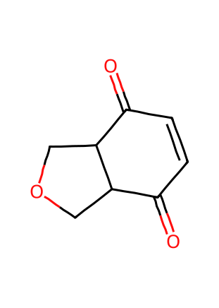 O=C1C=CC(=O)C2COCC12